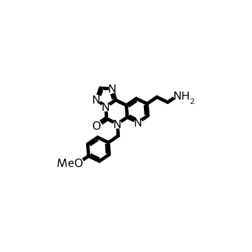 COc1ccc(Cn2c(=O)n3ncnc3c3cc(CCN)cnc32)cc1